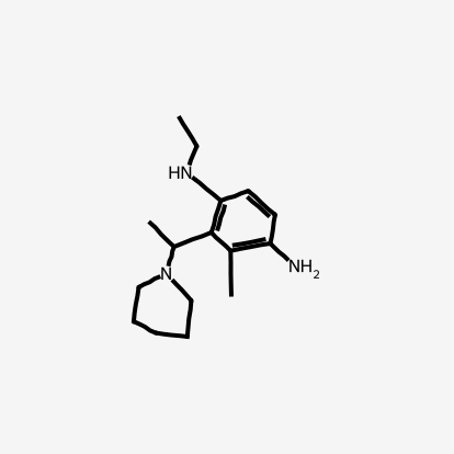 CCNc1ccc(N)c(C)c1C(C)N1CCCCC1